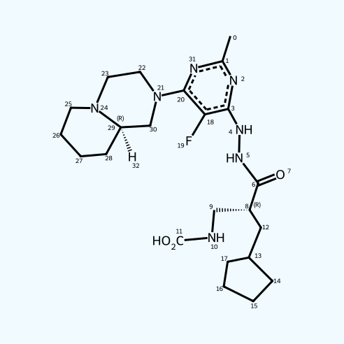 Cc1nc(NNC(=O)[C@@H](CNC(=O)O)CC2CCCC2)c(F)c(N2CCN3CCCC[C@@H]3C2)n1